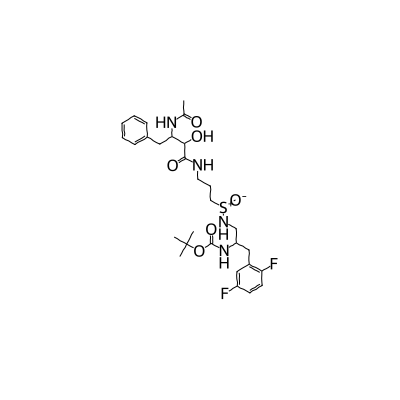 CC(=O)NC(Cc1ccccc1)C(O)C(=O)NCCC[S+]([O-])NCC(Cc1cc(F)ccc1F)NC(=O)OC(C)(C)C